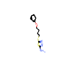 Nc1nnc(SCCCCOc2ccccc2)s1